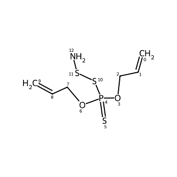 C=CCOP(=S)(OCC=C)SSN